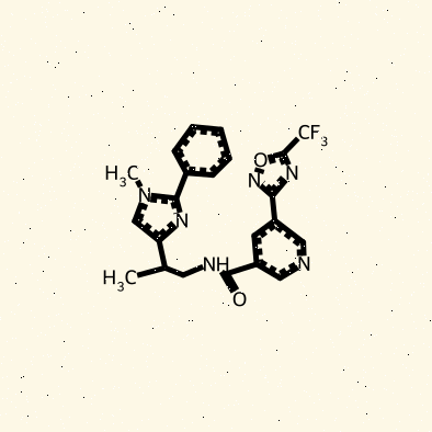 CC(CNC(=O)c1cncc(-c2noc(C(F)(F)F)n2)c1)c1cn(C)c(-c2ccccc2)n1